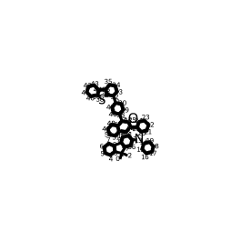 CC1(C)c2ccccc2-c2ccc(N(c3ccccc3)c3cccc4oc5c(-c6ccc(-c7cccc8c7sc7ccccc78)cc6)c6ccccc6cc5c34)cc21